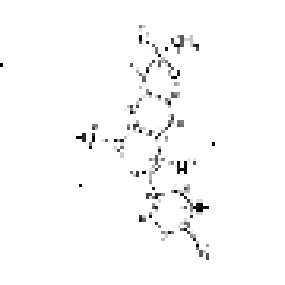 COc1cc(OS(C)(=O)=O)ccc1C1=NC2=CCC(=O)NC2=N1